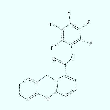 O=C(Oc1c(F)c(F)c(F)c(F)c1F)c1cccc2c1Cc1ccccc1O2